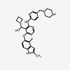 Cc1cc2c(F)c(Oc3ncnc(Nc4ccc(CN5CCNCC5)cn4)c3C(O)N3CCC3)ccc2[nH]1